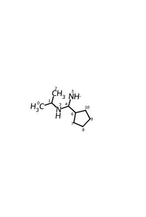 CC(C)NC([NH])C1CCCC1